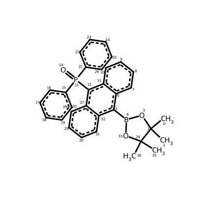 CC1(C)OB(c2c3ccccc3c(P(=O)(c3ccccc3)c3ccccc3)c3ccccc23)OC1(C)C